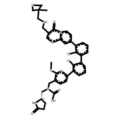 COc1nc(-c2cccc(-c3cccc(-c4ccn5c(=O)c(CNCC6(C)COC6)cnc5c4)c3Cl)c2Cl)ccc1CN(C[C@@H]1CCC(=O)N1)C(=O)O